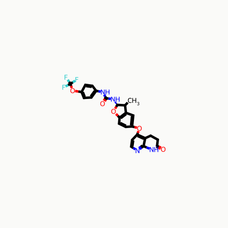 CC1c2cc(Oc3ccnc4c3CCC(=O)N4)ccc2O[C@H]1NC(=O)Nc1ccc(OC(F)(F)F)cc1